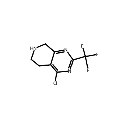 FC(F)(F)c1nc(Cl)c2c(n1)CNCC2